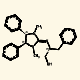 CN1C(=N[C@@H](CO)Cc2ccccc2)N(C)[C@@H](c2ccccc2)[C@@H]1c1ccccc1